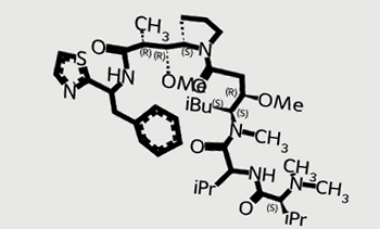 CC[C@H](C)[C@@H]([C@@H](CC(=O)N1CCC[C@H]1[C@H](OC)[C@@H](C)C(=O)NC(Cc1ccccc1)c1nccs1)OC)N(C)C(=O)C(NC(=O)[C@H](C(C)C)N(C)C)C(C)C